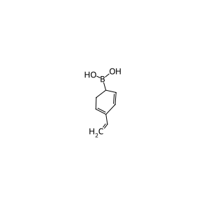 C=CC1=CCC(B(O)O)C=C1